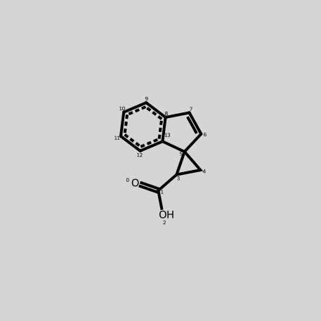 O=C(O)C1CC12C=Cc1ccccc12